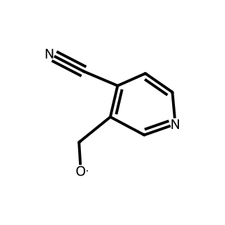 N#Cc1ccncc1C[O]